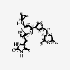 C=c1[nH]c(=O)[nH]/c1=C\c1cnn2c(NC3CC3)cc(-c3csc(CN4CC(C)OC(C)C4)c3)nc12